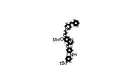 COc1cc2c(Oc3ccc(Nc4ccc(C(C)(C)C)cc4)cc3)ccnc2cc1OCCN1CCC(Cc2ccccc2)CC1